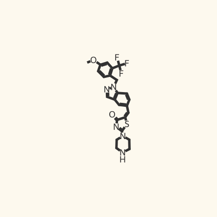 COc1ccc(Cn2ncc3cc(C=C4SC(N5CCNCC5)=NC4=O)ccc32)c(C(F)(F)F)c1